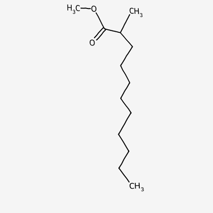 CCCCCCCCCC(C)C(=O)OC